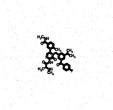 CNC(=O)c1ccc(C)c(-c2cnc(NC(=O)[C@H](C)NC)c(=O)n2Cc2cc(C(=O)c3ccc(F)cc3)cc(C(C)C)c2)c1